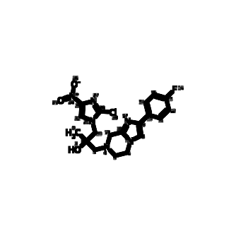 CC(O)(CN1CCn2cc(-c3ccc(F)cc3)nc2C1)Cn1cc([N+](=O)[O-])nc1Cl